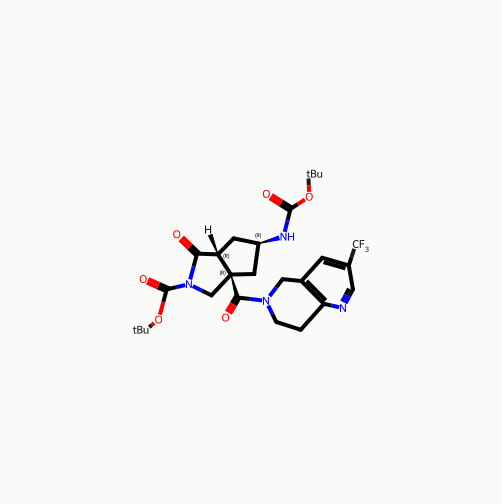 CC(C)(C)OC(=O)N[C@@H]1C[C@H]2C(=O)N(C(=O)OC(C)(C)C)C[C@@]2(C(=O)N2CCc3ncc(C(F)(F)F)cc3C2)C1